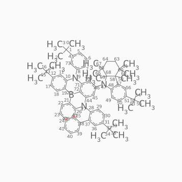 CC(C)(C)c1cccc(N2c3cc(C(C)(C)C)ccc3B3c4ccccc4N(c4ccc(C(C)(C)C)cc4-c4ccccc4)c4cc(N5c6ccc(C(C)(C)C)cc6C6(C)C(C)(C)CCC(C)(C)C56C)cc2c43)c1